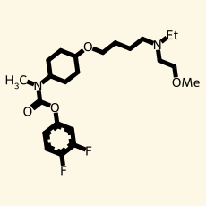 CCN(CCCCOC1CCC(N(C)C(=O)Oc2ccc(F)c(F)c2)CC1)CCOC